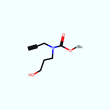 C#CCN(CCCO)C(=O)OC(C)(C)C